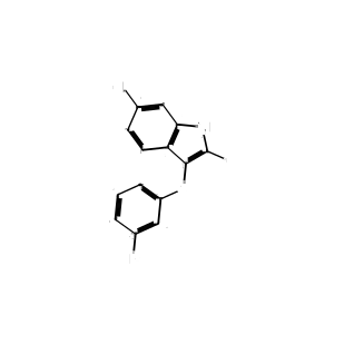 FC(F)(F)c1[nH]c2cc(Cl)ccc2c1Sc1cccc(Br)c1